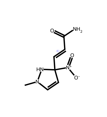 CN1C=CC(/C=C/C(N)=O)([N+](=O)[O-])N1